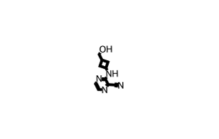 N#Cc1nccnc1NC1CC(CO)C1